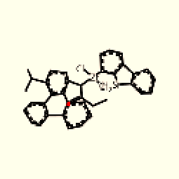 CCC1=Cc2c(ccc(C(C)C)c2-c2ccccc2-c2ccccc2)[CH]1[Zr]([Cl])([Cl])[c]1cccc2c1[SiH2]c1ccccc1-2